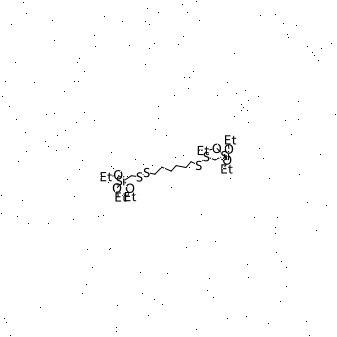 CCO[Si](CSSCCCCCCSSC[Si](OCC)(OCC)OCC)(OCC)OCC